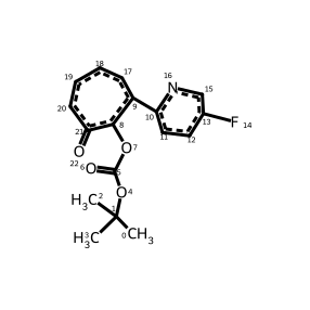 CC(C)(C)OC(=O)Oc1c(-c2ccc(F)cn2)ccccc1=O